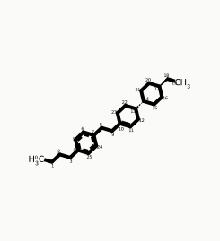 CCCCc1ccc(CCC2=CCC([C@H]3CC[C@H](CC)CC3)CC2)cc1